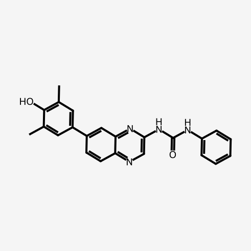 Cc1cc(-c2ccc3ncc(NC(=O)Nc4ccccc4)nc3c2)cc(C)c1O